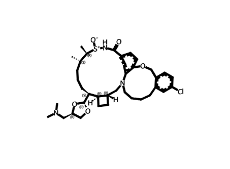 C[C@@H]1[C@@H](C)CCC[C@H]([C@@H]2OC[C@@H](CN(C)C)O2)[C@@H]2CC[C@H]2CN2CCCCc3cc(Cl)ccc3COc3ccc(cc32)C(=O)N[S+]1[O-]